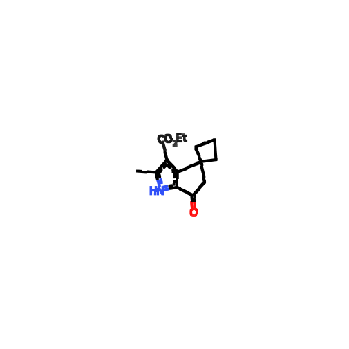 CCOC(=O)c1c(C)[nH]c2c1C1(CCC1)CC2=O